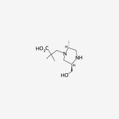 C[C@@H]1CN[C@@H](CO)CN1CC(C)(C)C(=O)O